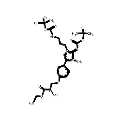 CCOC(=O)[C@H](O)COc1ccc(-c2cn(CCCNC(=O)OC(C)(C)C)/c(=N\C(=O)OC(C)(C)C)n2C)cc1